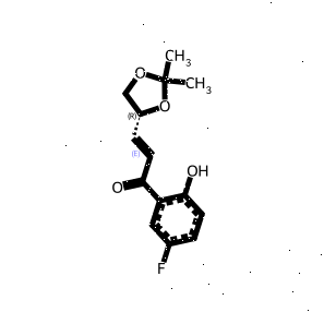 CC1(C)OC[C@@H](/C=C/C(=O)c2cc(F)ccc2O)O1